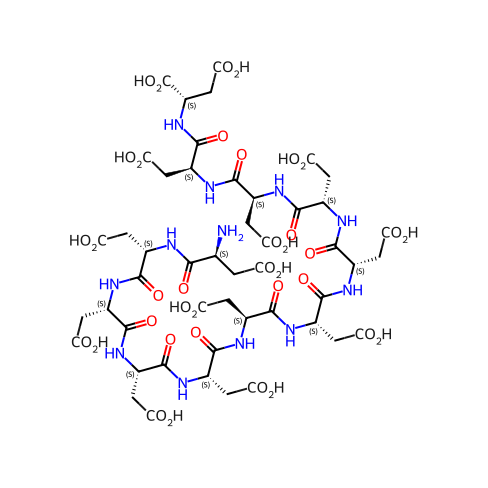 N[C@@H](CC(=O)O)C(=O)N[C@@H](CC(=O)O)C(=O)N[C@@H](CC(=O)O)C(=O)N[C@@H](CC(=O)O)C(=O)N[C@@H](CC(=O)O)C(=O)N[C@@H](CC(=O)O)C(=O)N[C@@H](CC(=O)O)C(=O)N[C@@H](CC(=O)O)C(=O)N[C@@H](CC(=O)O)C(=O)N[C@@H](CC(=O)O)C(=O)N[C@@H](CC(=O)O)C(=O)N[C@@H](CC(=O)O)C(=O)O